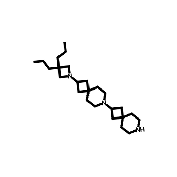 CCCC1(CCC)CN(C2CC3(CCN(C4CC5(CCNCC5)C4)CC3)C2)C1